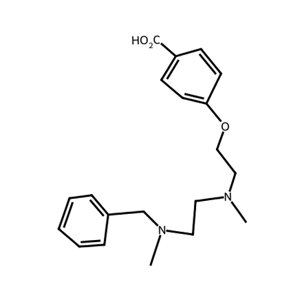 CN(CCOc1ccc(C(=O)O)cc1)CCN(C)Cc1ccccc1